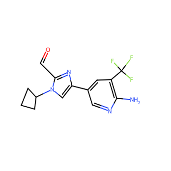 Nc1ncc(-c2cn(C3CCC3)c(C=O)n2)cc1C(F)(F)F